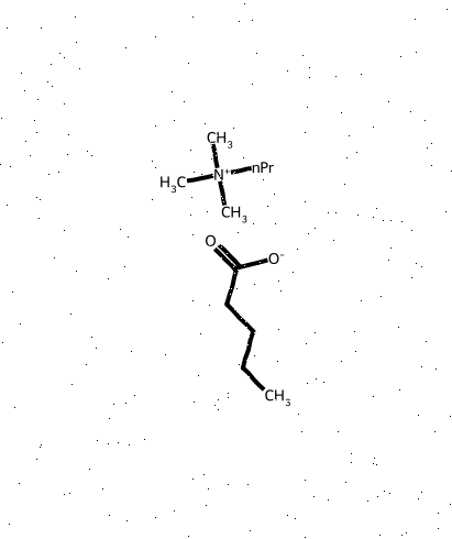 CCCCC(=O)[O-].CCC[N+](C)(C)C